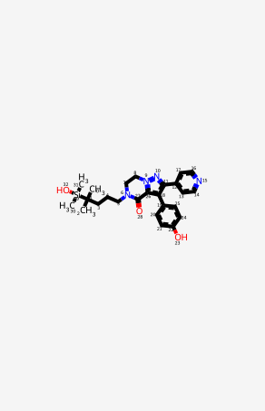 CC(C)(CCCN1CCn2nc(-c3ccncc3)c(-c3ccc(O)cc3)c2C1=O)[Si](C)(C)O